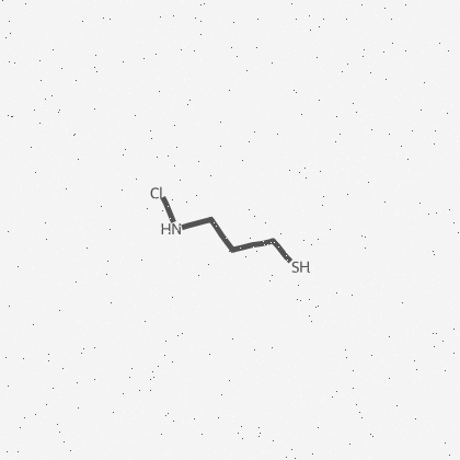 SCCCNCl